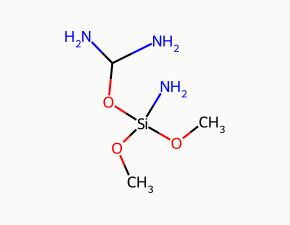 CO[Si](N)(OC)OC(N)N